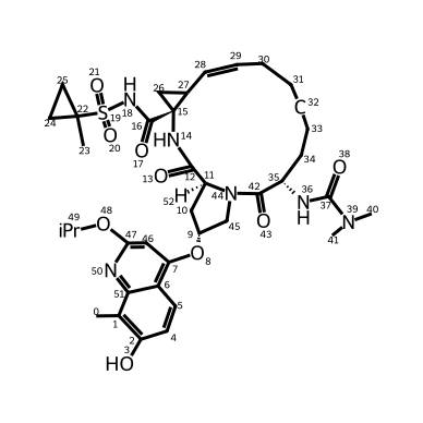 Cc1c(O)ccc2c(O[C@@H]3C[C@H]4C(=O)N[C@]5(C(=O)NS(=O)(=O)C6(C)CC6)CC5/C=C\CCCCC[C@H](NC(=O)N(C)C)C(=O)N4C3)cc(OC(C)C)nc12